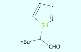 CCCCC(C=O)[SH]1C=CC=C1